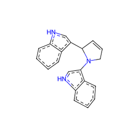 C1=CC(c2c[nH]c3ccccc23)N(c2c[nH]c3ccccc23)C1